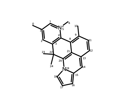 Cc1cc2c([n+](C)c1)-c1c(C)ccc3cc4cccn4c(c13)C2(C)C